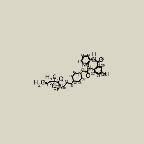 C=CCC(C)(C)C(=O)N(CC)CCCC1CCN(CC(=O)N2c3ccc(Cl)cc3C(=O)Nc3cccnc32)CC1